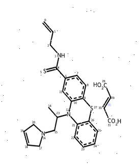 C=CCNC(=S)c1ccc2c(c1)N(C(C)CN1CC=CC1)c1ccccc1S2.O=C(O)/C=C/C(=O)O